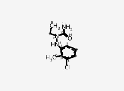 CCN(Nc1cccc(Cl)c1C)C(N)=O